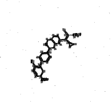 COc1ccc(F)c(-c2ccc([C@@H]3Cc4cc([C@H](C5CC5)[C@H](C)C(=O)O)ccc4CO3)cc2)c1